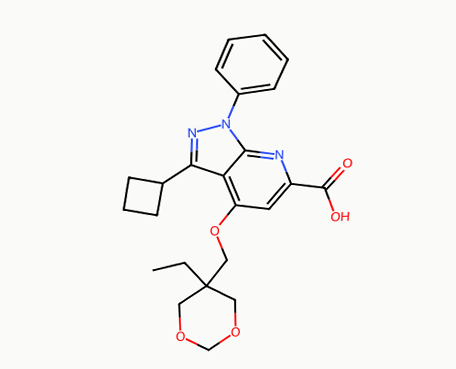 CCC1(COc2cc(C(=O)O)nc3c2c(C2CCC2)nn3-c2ccccc2)COCOC1